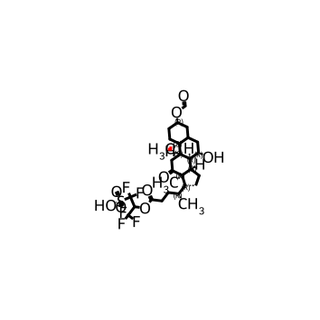 C[C@H](CCC(=O)OC(C(F)(F)F)C(F)(F)S(=O)(=O)O)[C@H]1CC[C@H]2[C@@H]3[C@H](O)CC4C[C@H](OC=O)CC[C@]4(C)[C@H]3CC(=O)[C@]12C